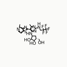 Cc1nc(NCC(F)(F)C(F)(F)F)nc(NC2C[C@H](CO)[C@@H](O)[C@H]2O)c1-c1nc2c(C)nccc2s1